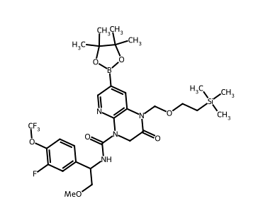 COCC(NC(=O)N1CC(=O)N(COCC[Si](C)(C)C)c2cc(B3OC(C)(C)C(C)(C)O3)cnc21)c1ccc(OC(F)(F)F)c(F)c1